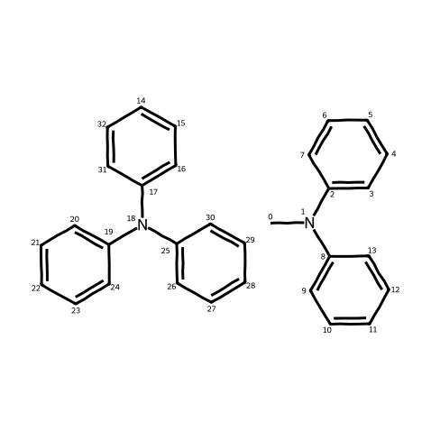 CN(c1ccccc1)c1ccccc1.c1ccc(N(c2ccccc2)c2ccccc2)cc1